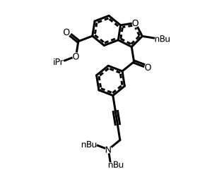 CCCCc1oc2ccc(C(=O)OC(C)C)cc2c1C(=O)c1cccc(C#CCN(CCCC)CCCC)c1